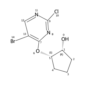 O[C@@H]1CCC[C@@H]1Oc1nc(Cl)ncc1Br